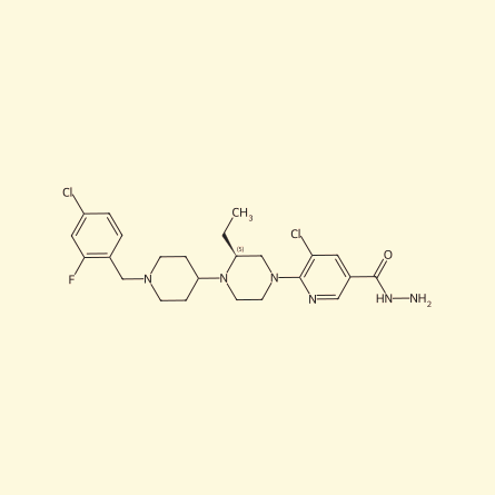 CC[C@H]1CN(c2ncc(C(=O)NN)cc2Cl)CCN1C1CCN(Cc2ccc(Cl)cc2F)CC1